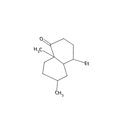 CCC1CCC(=O)C2(C)CCC(C)CC12